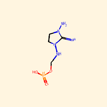 N=C1N(N)CCN1NCO[PH](=O)O